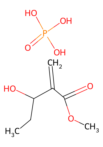 C=C(C(=O)OC)C(O)CC.O=P(O)(O)O